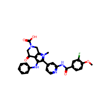 COc1ccc(C(=O)Nc2cc(-c3c(Nc4ccccc4)c4c(n3C)CN(C(=O)O)CC4=O)ccn2)cc1F